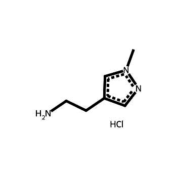 Cl.Cn1cc(CCN)cn1